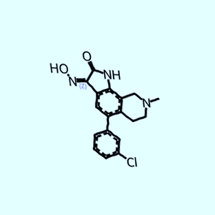 CN1CCc2c(-c3cccc(Cl)c3)cc3c(c2C1)NC(=O)/C3=N\O